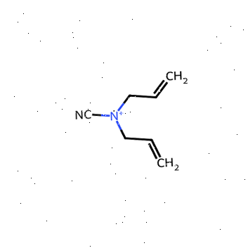 C=CC[N+](C#N)CC=C